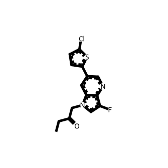 CCC(=O)Cn1cc(F)c2ncc(-c3ccc(Cl)s3)cc21